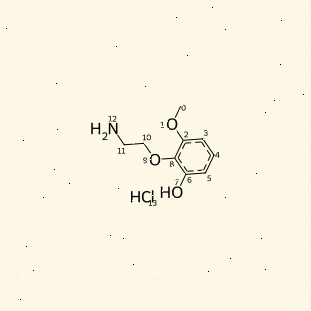 COc1cccc(O)c1OCCN.Cl